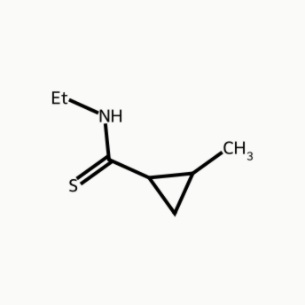 CCNC(=S)C1CC1C